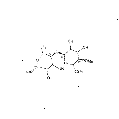 CO[C@@H]1OC(C(=O)O)[C@@H](O[C@@H]2OC(C(=O)O)[C@H](OC)C(O)C2O)C(O)C1O